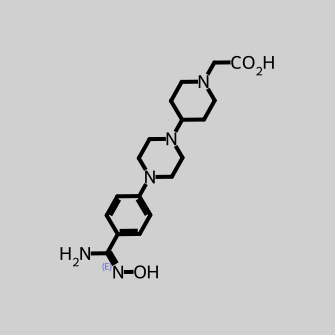 N/C(=N/O)c1ccc(N2CCN(C3CCN(CC(=O)O)CC3)CC2)cc1